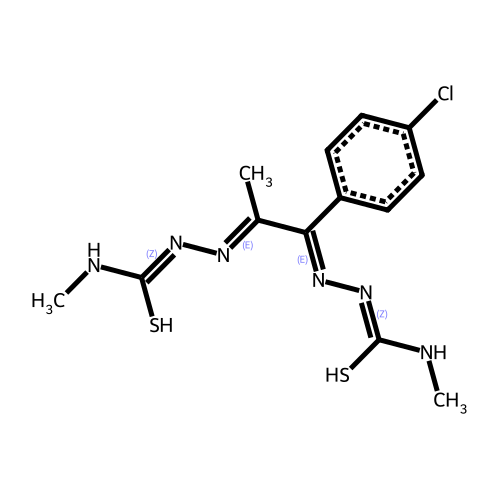 CN/C(S)=N/N=C(C)/C(=N/N=C(\S)NC)c1ccc(Cl)cc1